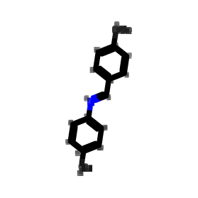 COc1ccc(C=Nc2ccc(C(C)(C)C)cc2)cc1